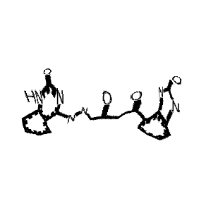 O=C(CN=Nc1nc(=O)[nH]c2ccccc12)CC(=O)c1cccc2c1=NC(=O)N=2